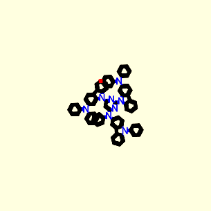 c1ccc(N(c2ccccc2)c2ccc3c4ccccc4n(-c4cc(N(c5ccccc5)c5ccc6c(c5)c5ccccc5n6-c5ccccc5)nc(-n5c6ccccc6c6ccc(N(c7ccccc7)c7ccccc7)cc65)n4)c3c2)cc1